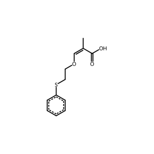 CC(=COCCSc1ccccc1)C(=O)O